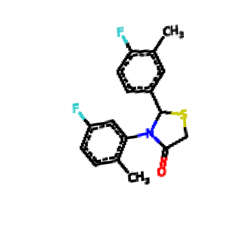 Cc1cc(C2SCC(=O)N2c2cc(F)ccc2C)ccc1F